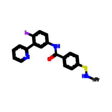 CCCNSc1ccc(C(=O)Nc2ccc(I)c(-c3ccccn3)c2)cc1